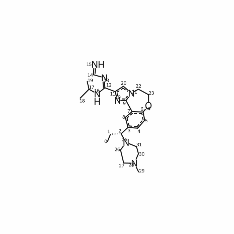 CC[C@H](c1ccc2c(c1)-c1nc(/C(=N/C=N)NC(C)C)cn1CCO2)N1CCN(C)CC1